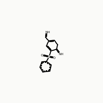 N=CC1=CCC(=N)C(S(=O)(=O)c2ccccc2)=C1